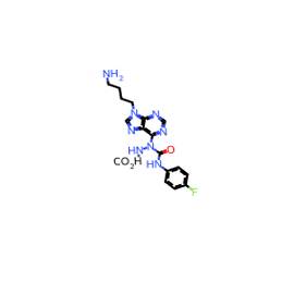 NCCCCn1cnc2c(N(NC(=O)O)C(=O)Nc3ccc(F)cc3)ncnc21